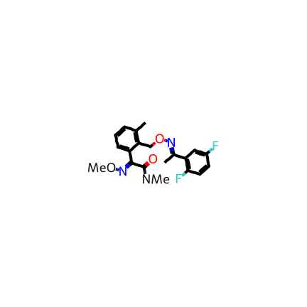 CNC(=O)/C(=N/OC)c1cccc(C)c1CO/N=C(\C)c1cc(F)ccc1F